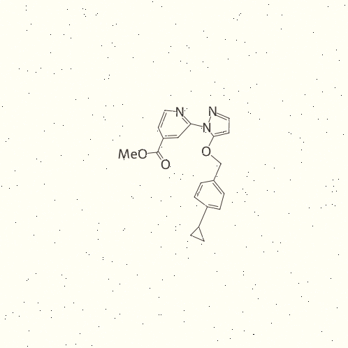 COC(=O)c1ccnc(-n2nccc2OCc2ccc(C3CC3)cc2)c1